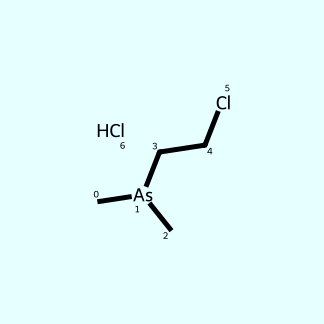 C[As](C)CCCl.Cl